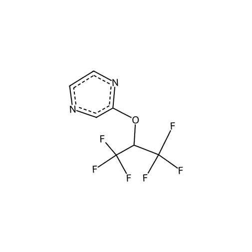 FC(F)(F)C(Oc1cnccn1)C(F)(F)F